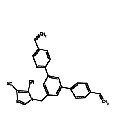 C=Cc1ccc(-c2cc(Cn3cnc(C#N)c3C#N)cc(-c3ccc(C=C)cc3)c2)cc1